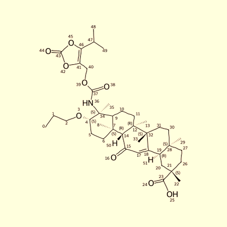 CCCO[C@H]1CC[C@@]2(C)C(CC[C@]3(C)[C@@H]2C(=O)C=C2[C@@H]4C[C@@](C)(C(=O)O)CC[C@]4(C)CC[C@]23C)[C@]1(C)NC(=O)OCc1oc(=O)oc1C(C)C